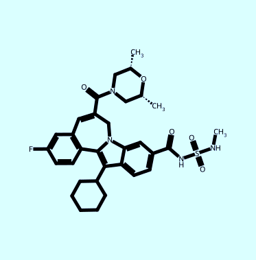 CNS(=O)(=O)NC(=O)c1ccc2c(C3CCCCC3)c3n(c2c1)CC(C(=O)N1C[C@@H](C)O[C@@H](C)C1)=Cc1cc(F)ccc1-3